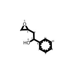 OC(CC1CO1)c1ccccc1